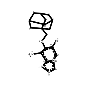 Nc1c(OCC23CC4CC(CC(C4)C2)C3)c(Br)cn2cnnc12